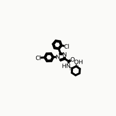 O=C(N[C@H]1CCCC[C@H]1O)c1cn(-c2ccc(Cl)cc2)c(-c2ccccc2Cl)n1